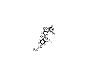 Cc1cc(N2C[C@H](S(=O)(=O)c3ccc(OCC(F)(F)F)cc3C(F)(F)F)C[C@@H]2C(=O)O)n(C(C)C)n1